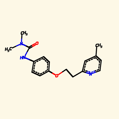 Cc1ccnc(CCOc2ccc(NC(=O)N(C)C)cc2)c1